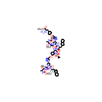 COC(=O)C(N)Cc1ccc(OCc2cn([C@@H]3C[C@@H](C(=O)NC(Cc4ccc5ccccc5c4)C(=O)NC(Cc4ccc(OCc5cn([C@@H]6C[C@@H](C(=O)NC(Cc7ccc8ccccc8c7)C(=O)O)N(C(=O)C(NC(=O)C(C)N(C)C(=O)OC(C)(C)C)C(C)(C)C)C6)nn5)cc4)C(=O)NS(=O)(=O)C4CC4)N(C(=O)C(NC(=O)C(C)N(C)C(=O)OC(C)(C)C)C(C)(C)C)C3)nn2)cc1